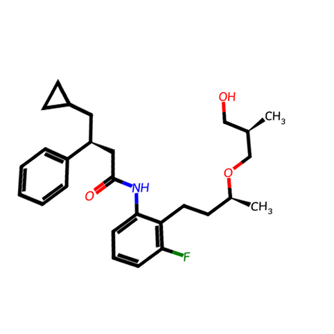 C[C@H](CO)CO[C@@H](C)CCc1c(F)cccc1NC(=O)C[C@H](CC1CC1)c1ccccc1